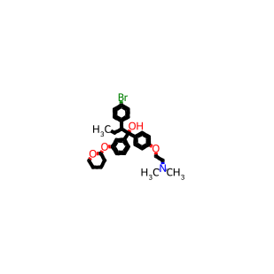 CCC(c1ccc(Br)cc1)C(O)(c1ccc(OCCN(C)C)cc1)c1cccc(OC2CCCCO2)c1